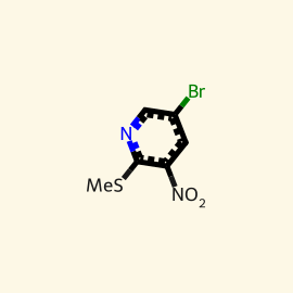 CSc1ncc(Br)cc1[N+](=O)[O-]